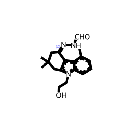 Cc1cccc2c1c1c(n2CCO)CC(C)(C)C/C1=N/NC=O